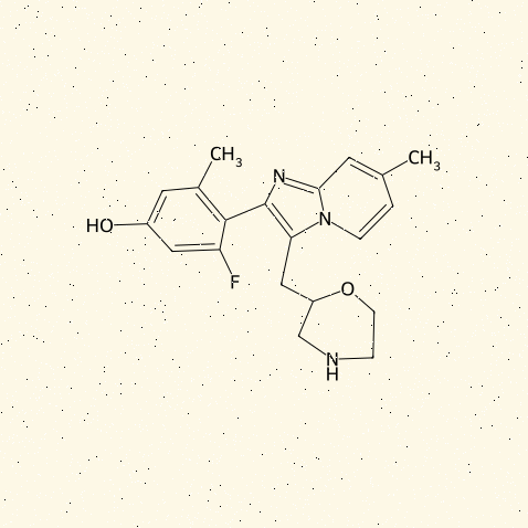 Cc1ccn2c(CC3CNCCO3)c(-c3c(C)cc(O)cc3F)nc2c1